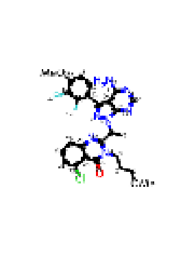 COCCCn1c(C(C)n2nc(-c3ccc(OC)c(F)c3F)c3c(N)ncnc32)nc2cccc(Cl)c2c1=O